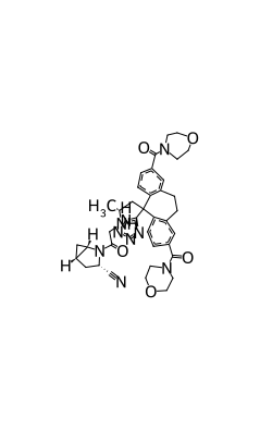 C[C@H](CC1(c2nnn[nH]2)c2ccc(C(=O)N3CCOCC3)cc2CCc2cc(C(=O)N3CCOCC3)ccc21)NCC(=O)N1[C@H](C#N)C[C@@H]2C[C@@H]21